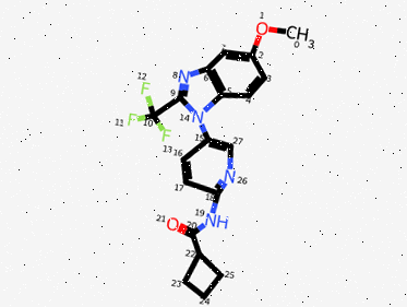 COc1ccc2c(c1)nc(C(F)(F)F)n2-c1ccc(NC(=O)C2CCC2)nc1